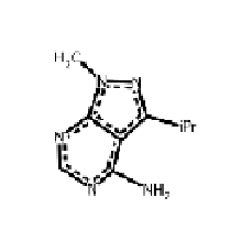 CC(C)c1nn(C)c2ncnc(N)c12